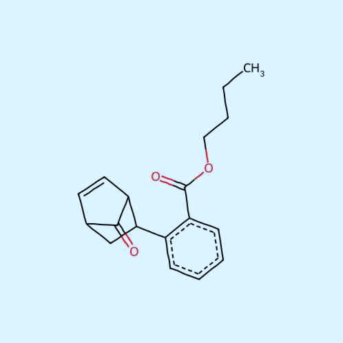 CCCCOC(=O)c1ccccc1C1CC2C=CC1C2=O